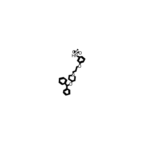 CS(=O)(=O)Nc1cccc(OCCCN2CCC(OC(c3ccccc3)c3ccccc3)CC2)c1